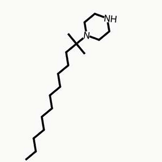 CCCCCCCCCCCC(C)(C)N1CCNCC1